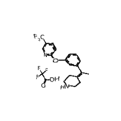 CC(=C1CCNCC1)c1cccc(Oc2ccc(C(F)(F)F)cn2)c1.O=C(O)C(F)(F)F